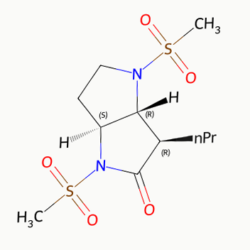 CCC[C@H]1C(=O)N(S(C)(=O)=O)[C@H]2CCN(S(C)(=O)=O)[C@H]12